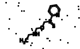 CCNCOCS(=S)c1ccccn1